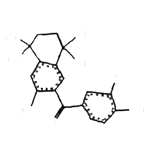 Cc1cc2c(cc1C(=O)c1ccc(C(=O)O)c(F)c1)C(C)(C)CCC2(C)C